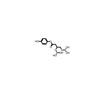 O=C(CC(CON(O)O)ON(O)O)Oc1ccc(O)cc1